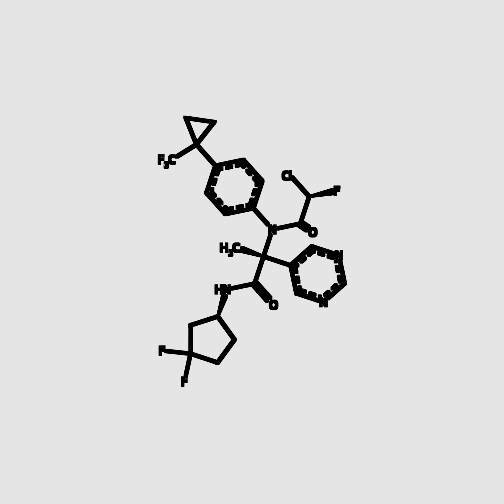 C[C@](C(=O)N[C@H]1CCC(F)(F)C1)(c1cncnc1)N(C(=O)[C@H](F)Cl)c1ccc(C2(C(F)(F)F)CC2)cc1